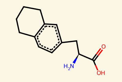 N[C@@H](Cc1ccc2c(c1)CCCC2)C(=O)O